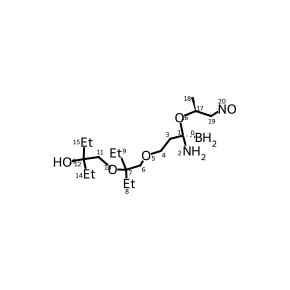 B[C@](N)(CCOCC(CC)(CC)OCC(O)(CC)CC)O[C@@H](C)CN=O